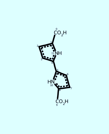 O=C(O)c1ccc(-c2ccc(C(=O)O)[nH]2)[nH]1